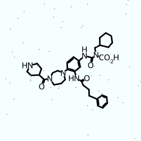 O=C(CCCc1ccccc1)Nc1cc(NC(=O)N(CC2CCCCC2)C(=O)O)ccc1N1CCCN(C(=O)C2CCNCC2)CC1